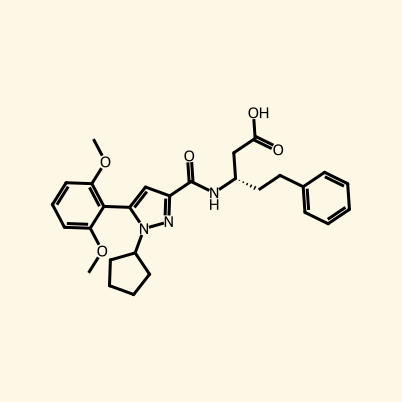 COc1cccc(OC)c1-c1cc(C(=O)N[C@@H](CCc2ccccc2)CC(=O)O)nn1C1CCCC1